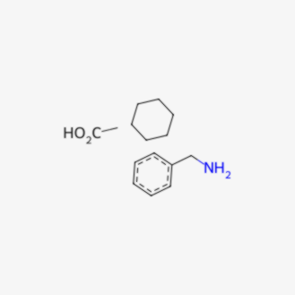 C1CCCCC1.CC(=O)O.NCc1ccccc1